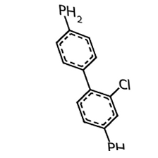 Pc1ccc(-c2ccc(P)cc2Cl)cc1